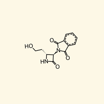 O=C1N[C@H](CCO)[C@H]1N1C(=O)c2ccccc2C1=O